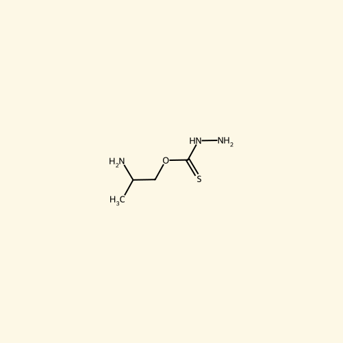 CC(N)COC(=S)NN